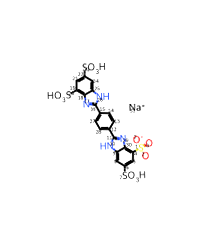 O=S(=O)([O-])c1cc(S(=O)(=O)O)cc2[nH]c(-c3ccc(-c4nc5c(S(=O)(=O)O)cc(S(=O)(=O)O)cc5[nH]4)cc3)nc12.[Na+]